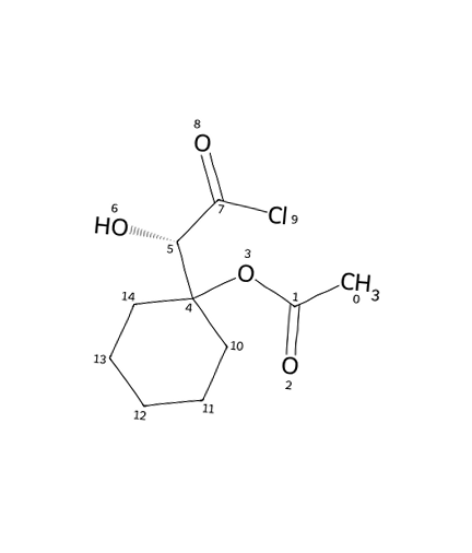 CC(=O)OC1([C@H](O)C(=O)Cl)CCCCC1